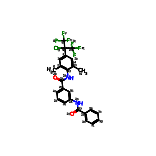 Cc1cc(C(Cl)(C(F)(F)F)C(F)(F)F)cc(C)c1NC(=O)c1cccc(NC(=O)c2ccccc2)c1